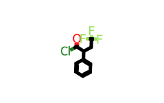 O=C(Cl)C(CC(F)(F)F)c1ccccc1